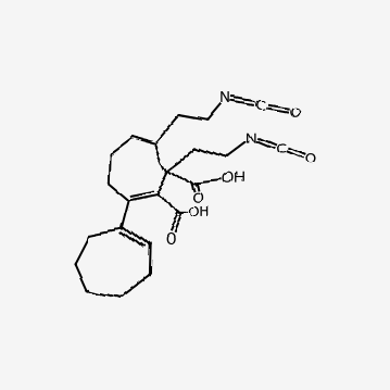 O=C=NCCC1CCCC(C2=CCCCCC2)=C(C(=O)O)C1(CCN=C=O)C(=O)O